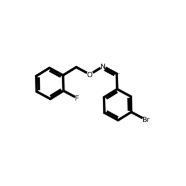 Fc1ccccc1CO/N=[C]\c1cccc(Br)c1